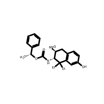 CCC1(CC)c2cc(O)ccc2C[C@H](OC)[C@H]1NC(=O)O[C@H](C)c1ccccc1